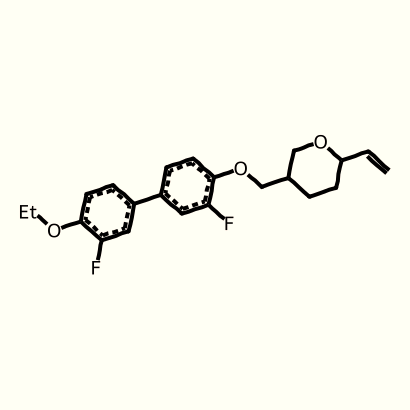 C=CC1CCC(COc2ccc(-c3ccc(OCC)c(F)c3)cc2F)CO1